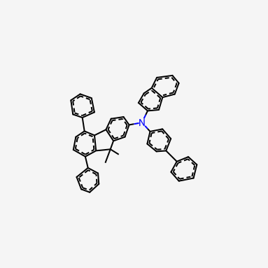 CC1(C)c2cc(N(c3ccc(-c4ccccc4)cc3)c3ccc4ccccc4c3)ccc2-c2c(-c3ccccc3)ccc(-c3ccccc3)c21